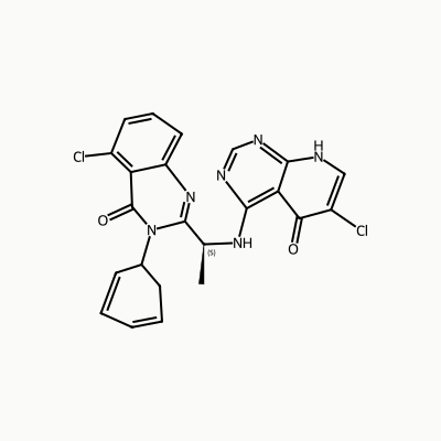 C[C@H](Nc1ncnc2[nH]cc(Cl)c(=O)c12)c1nc2cccc(Cl)c2c(=O)n1C1C=CC=CC1